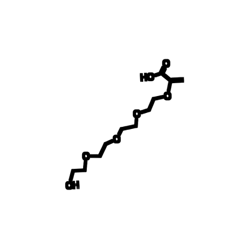 C=C(OCCOCCOCCOCCO)C(=O)O